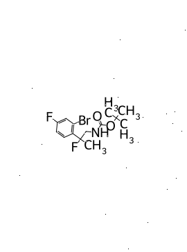 CC(C)(C)OC(=O)NCC(C)(F)c1ccc(F)cc1Br